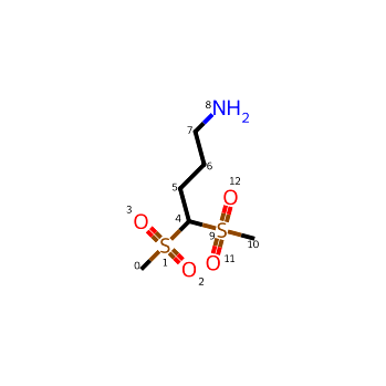 CS(=O)(=O)C(CCCN)S(C)(=O)=O